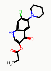 CCC(=O)Oc1c[nH]c2cc(Cl)c(N3CCCCC3)cc2c1=O